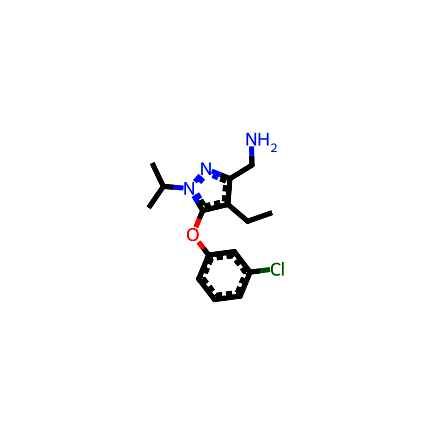 CCc1c(CN)nn(C(C)C)c1Oc1cccc(Cl)c1